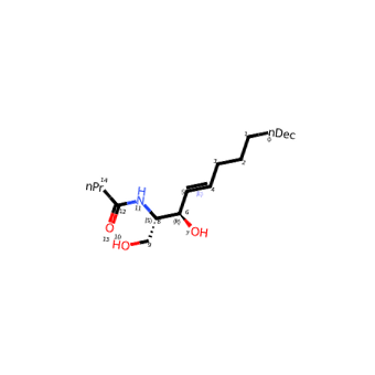 CCCCCCCCCCCCC/C=C/[C@@H](O)[C@H](CO)NC(=O)CCC